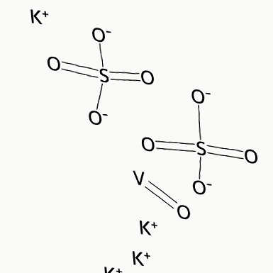 O=S(=O)([O-])[O-].O=S(=O)([O-])[O-].[K+].[K+].[K+].[K+].[O]=[V]